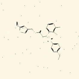 CCc1ccc(S(=O)(=O)N(CC(=O)NCc2csc(C=O)c2)c2cccc(Cl)c2C)cc1